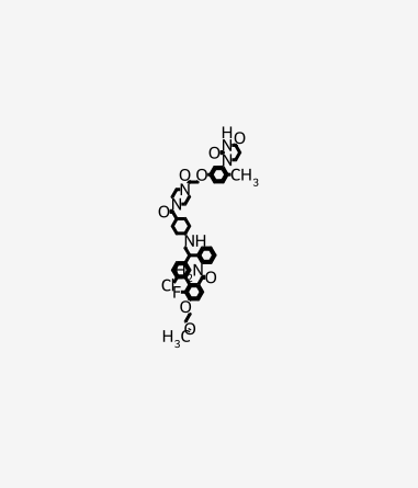 COCCOc1ccc(C(N)=O)c(-c2cc(C(CNC3CCC(C(=O)N4CCN(C(=O)COc5ccc(C)c(N6CCC(=O)NC6=O)c5)CC4)CC3)c3ccccc3)ccc2Cl)c1F